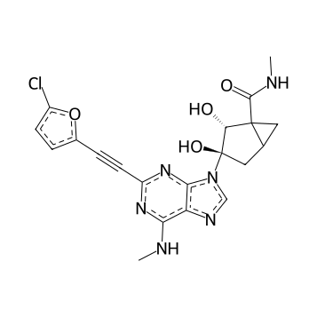 CNC(=O)C12CC1C[C@](O)(n1cnc3c(NC)nc(C#Cc4ccc(Cl)o4)nc31)[C@@H]2O